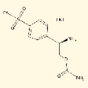 CCS(=O)(=O)c1ccc([C@@H](N)COC(N)=O)cc1.Cl